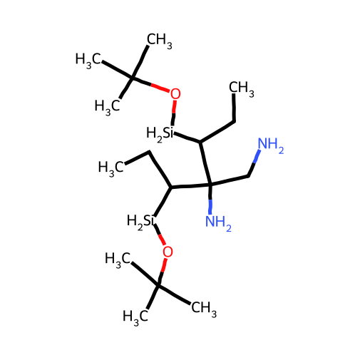 CCC([SiH2]OC(C)(C)C)C(N)(CN)C(CC)[SiH2]OC(C)(C)C